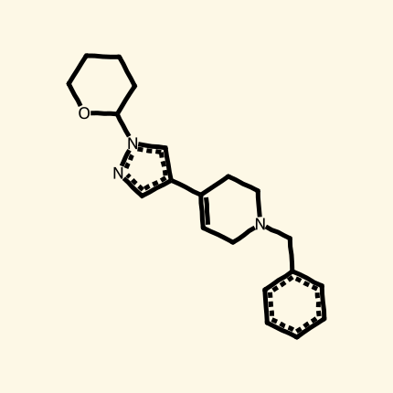 C1=C(c2cnn(C3CCCCO3)c2)CCN(Cc2ccccc2)C1